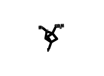 CC(C)N1CC2(F)CC1(C(=O)O)C2